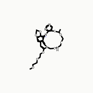 COCCOCCOC1=Cc2cc3c(/c4c2=CN1CCNCCCOC(C)Cc1cncnc1\N=4)OCO3